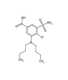 CCCCN(CCCC)c1cc(C(=O)O)cc(S(N)(=O)=O)c1Cl